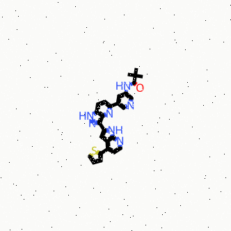 CC(C)(C)C(=O)Nc1cncc(-c2ccc3[nH]nc(-c4cc5c(-c6cccs6)ccnc5[nH]4)c3n2)c1